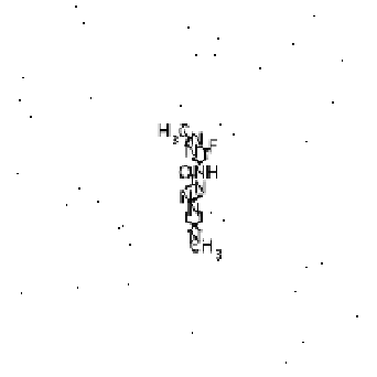 Cc1cn2cc(NC(=O)c3cnc(N4CCC5(CC4)CN(C)C5)cn3)cc(F)c2n1